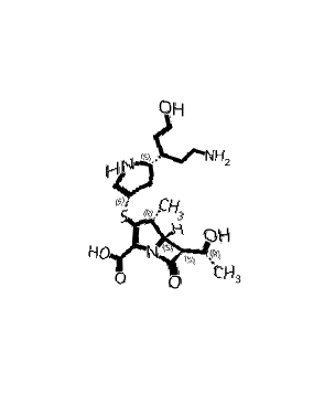 C[C@@H](O)[C@H]1C(=O)N2C(C(=O)O)=C(S[C@@H]3CN[C@H](C(CCN)CCO)C3)[C@H](C)[C@H]12